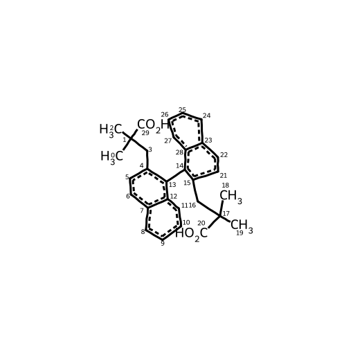 CC(C)(Cc1ccc2ccccc2c1-c1c(CC(C)(C)C(=O)O)ccc2ccccc12)C(=O)O